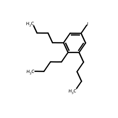 CCCCc1cc(I)cc(CCCC)c1CCCC